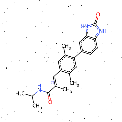 C/C(=C\c1cc(C)c(-c2ccc3[nH]c(=O)[nH]c3c2)cc1C)C(=O)NC(C)C